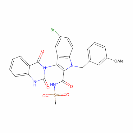 COc1cccc(Cn2c(C(=O)NS(C)(=O)=O)c(-n3c(=O)[nH]c4ccccc4c3=O)c3cc(Br)ccc32)c1